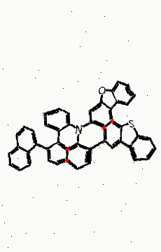 c1ccc(-c2cccc3ccccc23)c(-c2ccccc2N(c2ccc3c(c2)oc2ccccc23)c2ccccc2-c2ccc3sc4ccccc4c3c2)c1